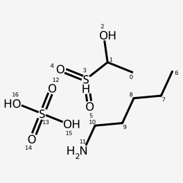 CC(O)[SH](=O)=O.CCCCCN.O=S(=O)(O)O